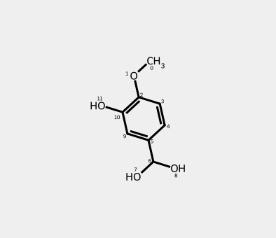 COc1ccc(C(O)O)cc1O